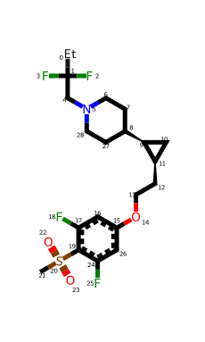 CCC(F)(F)CN1CCC([C@H]2C[C@H]2CCOc2cc(F)c(S(C)(=O)=O)c(F)c2)CC1